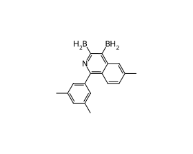 Bc1nc(-c2cc(C)cc(C)c2)c2ccc(C)cc2c1B